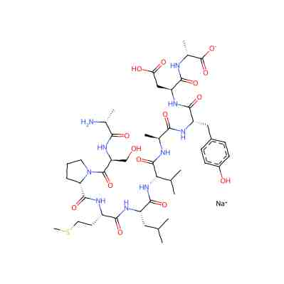 CSCC[C@H](NC(=O)[C@@H]1CCCN1C(=O)[C@H](CO)NC(=O)[C@@H](C)N)C(=O)N[C@@H](CC(C)C)C(=O)N[C@H](C(=O)N[C@@H](C)C(=O)N[C@@H](Cc1ccc(O)cc1)C(=O)N[C@@H](CC(=O)O)C(=O)N[C@H](C)C(=O)[O-])C(C)C.[Na+]